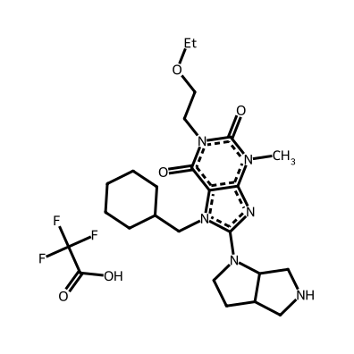 CCOCCn1c(=O)c2c(nc(N3CCC4CNCC43)n2CC2CCCCC2)n(C)c1=O.O=C(O)C(F)(F)F